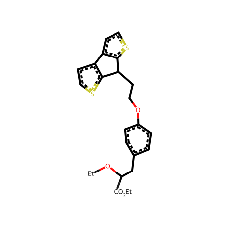 CCOC(=O)C(Cc1ccc(OCCC2c3sccc3-c3ccsc32)cc1)OCC